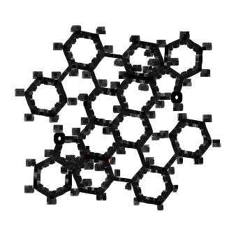 c1ccc(-c2cccc(-c3ccccc3)c2-c2cc3c4oc5ccccc5c4cc4c(-c5c(-c6ccccc6)cccc5-c5ccccc5)cc5c6oc7ccccc7c6cc2c5c43)cc1